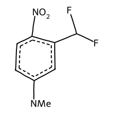 CNc1ccc([N+](=O)[O-])c(C(F)F)c1